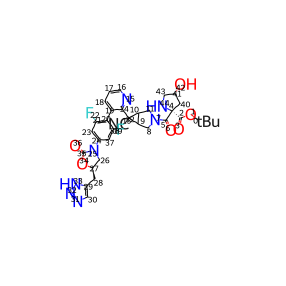 CC(C)(C)OC(=O)[C@@]1(C(=O)N2CC3C(C2)C3(C#N)c2ncccc2-c2c(F)cc(N3C[C@@H](Cc4cnn[nH]4)OC3=O)cc2F)C[C@@H](O)CN1